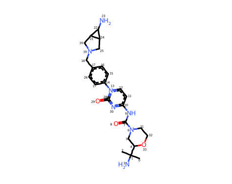 CC(C)(N)C1CN(C(=O)Nc2ccn(-c3ccc(CN4CC5C(N)C5C4)cc3)c(=O)n2)CCO1